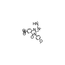 CNCCN(C)Cc1nc2ccc([N+](=O)[O-])cc2c(=O)n1-c1ccc(OC)cc1